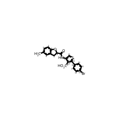 Cc1ccc2c(c1)CC(C(=O)Nc1csc(-c3ccc(Br)cc3)c1C(=O)O)O2